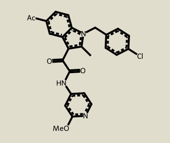 COc1cc(NC(=O)C(=O)c2c(C)n(Cc3ccc(Cl)cc3)c3ccc(C(C)=O)cc23)ccn1